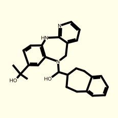 CC(C)(O)c1ccc2c(c1)N(C(O)C1CCc3ccccc3CC1)Cc1cccnc1N2